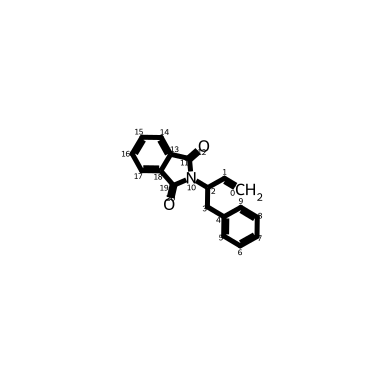 C=CC(Cc1ccccc1)N1C(=O)c2ccccc2C1=O